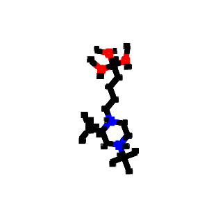 CO[Si](CCCCN1CCN(C(C)(C)C)CC1[SiH](C)C)(OC)OC